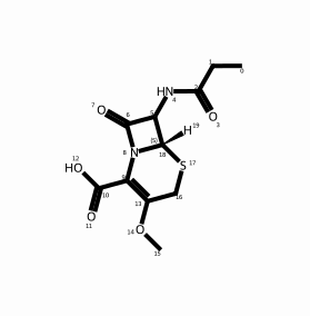 CCC(=O)NC1C(=O)N2C(C(=O)O)=C(OC)CS[C@@H]12